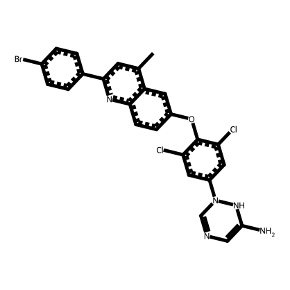 Cc1cc(-c2ccc(Br)cc2)nc2ccc(Oc3c(Cl)cc(N4C=NC=C(N)N4)cc3Cl)cc12